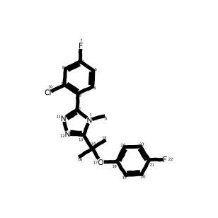 Cn1c(-c2ccc(F)cc2Cl)nnc1C(C)(C)Oc1ccc(F)cc1